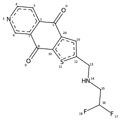 O=C1c2ccncc2C(=O)c2sc(CNCC(F)F)cc21